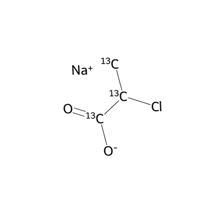 [13CH3][13CH](Cl)[13C](=O)[O-].[Na+]